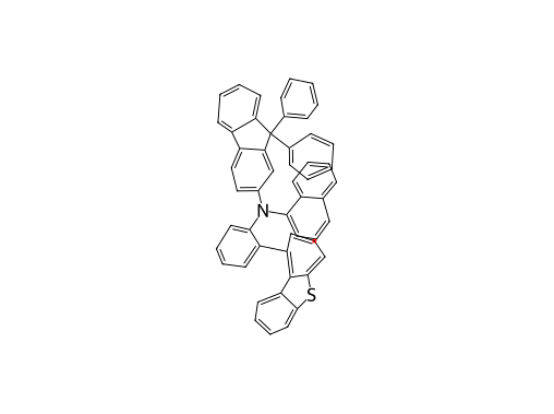 c1ccc(C2(c3ccccc3)c3ccccc3-c3ccc(N(c4ccccc4-c4cccc5sc6ccccc6c45)c4cccc5ccccc45)cc32)cc1